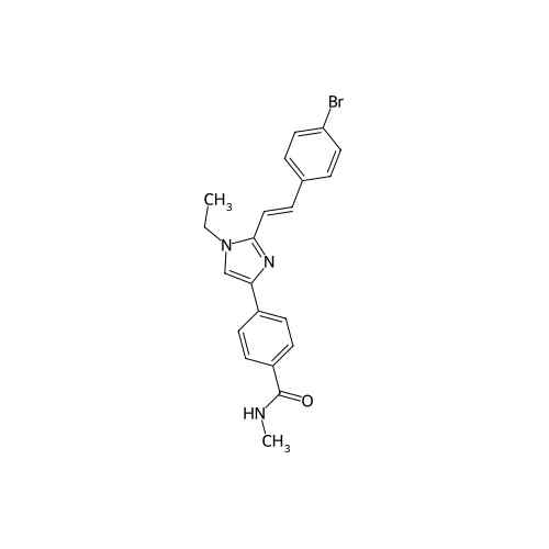 CCn1cc(-c2ccc(C(=O)NC)cc2)nc1C=Cc1ccc(Br)cc1